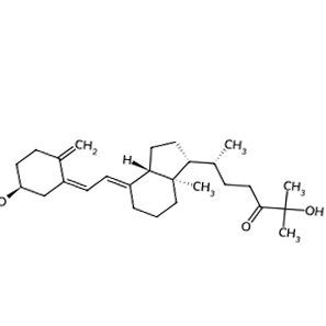 C=C1CC[C@H](O)C/C1=C/C=C1\CCC[C@]2(C)[C@@H]([C@H](C)CCC(=O)C(C)(C)O)CC[C@@H]12